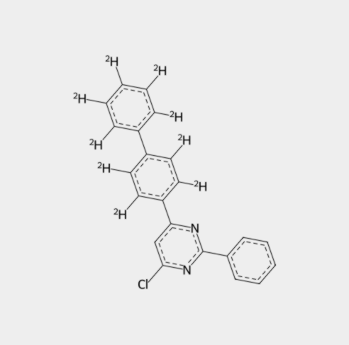 [2H]c1c([2H])c([2H])c(-c2c([2H])c([2H])c(-c3cc(Cl)nc(-c4ccccc4)n3)c([2H])c2[2H])c([2H])c1[2H]